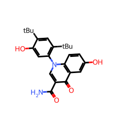 CC(C)(C)c1cc(C(C)(C)C)c(-n2cc(C(N)=O)c(=O)c3cc(O)ccc32)cc1O